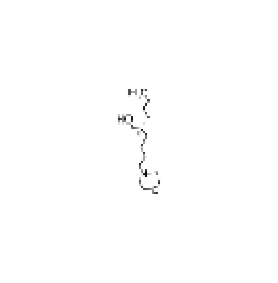 CCCC[C@@H](CO)CCCCN1CCOCC1